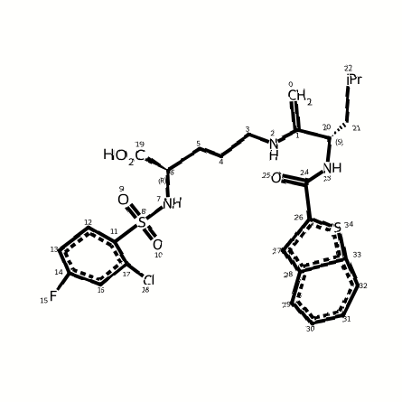 C=C(NCCC[C@@H](NS(=O)(=O)c1ccc(F)cc1Cl)C(=O)O)[C@H](CC(C)C)NC(=O)c1cc2ccccc2s1